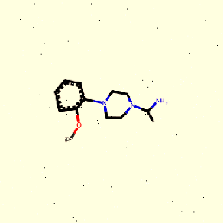 CC(C)Oc1ccccc1N1CCN(C(C)N)CC1